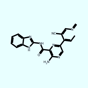 C=N/C=C(C#N)\C(=C/C)c1cnc(N)c(C(=O)Nc2nc3ccccc3[nH]2)n1